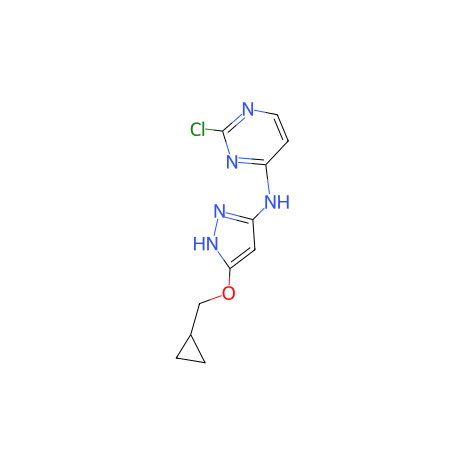 Clc1nccc(Nc2cc(OCC3CC3)[nH]n2)n1